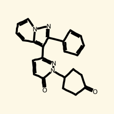 O=C1CCC(n2nc(-c3c(-c4ccccc4)nn4ccccc34)ccc2=O)CC1